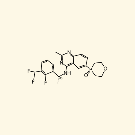 Cc1nc(N[C@H](C)c2cccc(C(F)F)c2F)c2cc(P3(=O)CCOCC3)ccc2n1